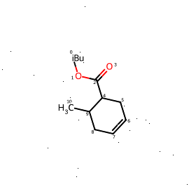 CCC(C)OC(=O)C1CC=CCC1C